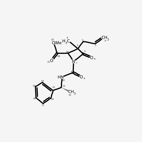 C=CCC1(C)C(=O)N(C(=O)N[C@H](C)c2ccccc2)C1C(=O)OC